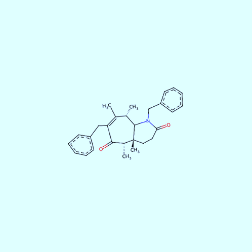 CC1=C(Cc2ccccc2)C(=O)[C@@H](C)[C@@]2(C)CCC(=O)N(Cc3ccccc3)C2[C@H]1C